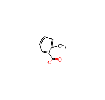 [O]C(=O)c1ccccc1C(F)(F)F